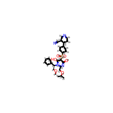 COC[C@@H](c1ccccc1)n1c(COC(C)C)nc(=O)c(S(=O)(=O)c2ccc(-c3ccncc3C#N)cc2)c1O